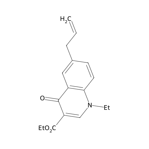 C=CCc1ccc2c(c1)c(=O)c(C(=O)OCC)cn2CC